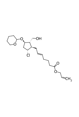 C=CCOC(=O)CCCC=CC[C@@H]1[C@@H](CO)[C@H](OC2CCCCO2)C[C@H]1Cl